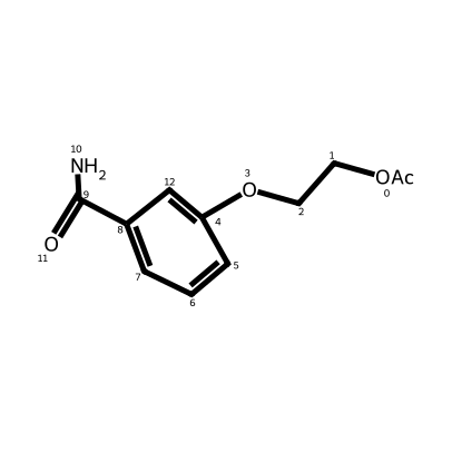 CC(=O)OCCOc1cccc(C(N)=O)c1